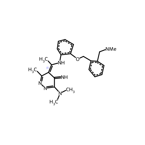 CNCc1ccccc1COc1ccccc1N/C(C)=C1\C(=N)C(N(C)C)=NN=C1C